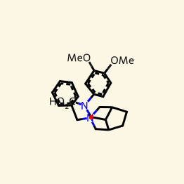 COc1ccc(N(CC2C3CCC2CN(Cc2ccccc2)C3)C(=O)O)cc1OC